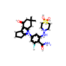 CC1(C)CC(=O)c2c3c(n(-c4cc(F)c(C(N)=O)c(NN5CCS(=O)(=O)CC5)c4)c2C1)CCC3